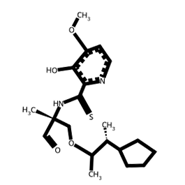 COc1ccnc(C(=S)N[C@@](C)(C=O)COC(C)[C@H](C)C2CCCC2)c1O